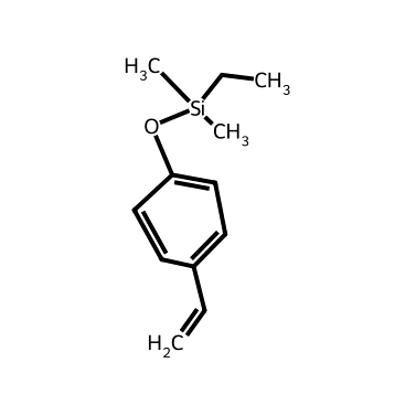 C=Cc1ccc(O[Si](C)(C)CC)cc1